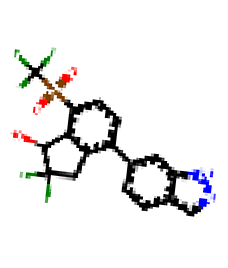 O=S(=O)(c1ccc(-c2ccc3cn[nH]c3c2)c2c1[C@H](O)C(F)(F)C2)C(F)(F)F